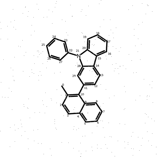 Cc1ccc2ccccc2c1-c1ccc2c3ccccc3n(-c3ccccc3)c2c1